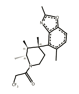 Cc1nc2c([C@]3(C)CCN(C(=O)CC(F)(F)F)[C@H](C)[C@H]3C)c(C)ccc2o1